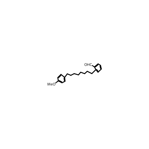 COc1ccc(CCCCCCCCc2ccccc2C=O)cc1